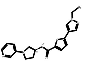 CC(C)Cn1cc(-c2ccc(C(=O)N[C@H]3CCN(c4cccnc4)C3)s2)cn1